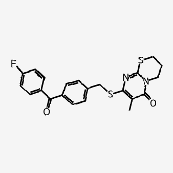 Cc1c(SCc2ccc(C(=O)c3ccc(F)cc3)cc2)nc2n(c1=O)CCCS2